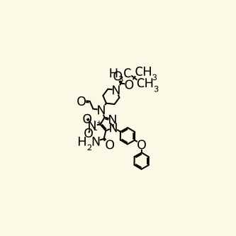 CC(C)(C)OC(=O)N1CCC(N(CC=O)c2nn(-c3ccc(Oc4ccccc4)cc3)c(C(N)=O)c2[N+](=O)[O-])CC1